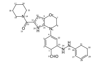 O=CC1C=CC(N2CCOc3cc(C(=O)N4CCCCC4)[nH]c32)=CC1NNC1=CC=CCC1